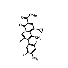 COC(=O)c1cc(C2CC2)c2c(C)c(-c3cc(F)c(N)cc3F)c(F)cn2c1=O